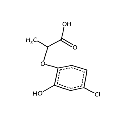 CC(Oc1ccc(Cl)cc1O)C(=O)O